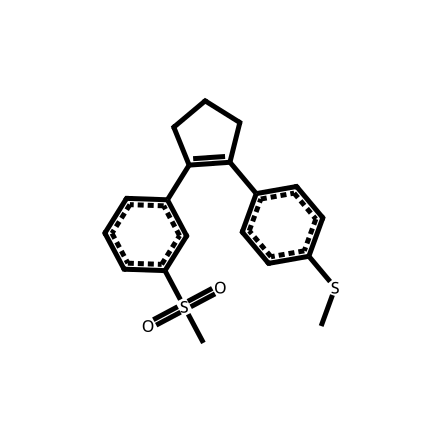 CSc1ccc(C2=C(c3cccc(S(C)(=O)=O)c3)CCC2)cc1